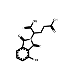 O=C(O)CCC(C(=O)O)N1C(=O)c2cccc(O)c2C1=O